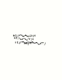 O=C(O)CCC(=O)O.O=C(O)CCCC(=O)O.O=C(O)CCCCC(=O)O.O=C(O)CCCCC(=O)O